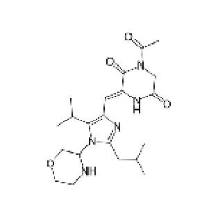 CC(=O)N1CC(=O)NC(=Cc2nc(CC(C)C)n(C3COCCN3)c2C(C)C)C1=O